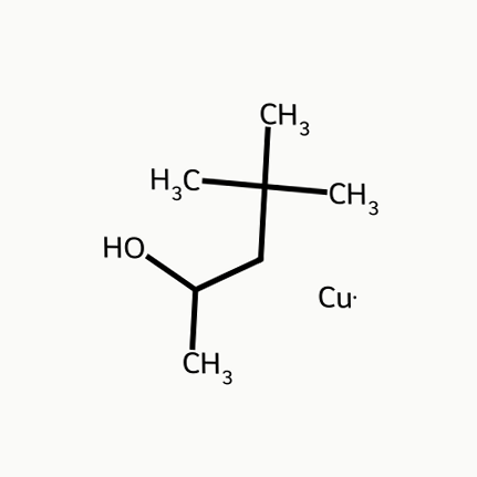 CC(O)CC(C)(C)C.[Cu]